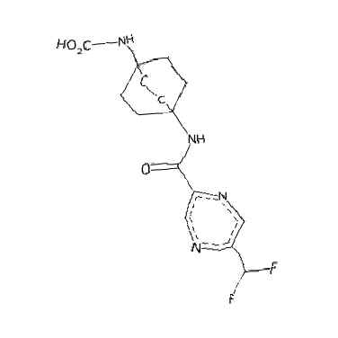 O=C(O)NC12CCC(NC(=O)c3cnc(C(F)F)cn3)(CC1)CC2